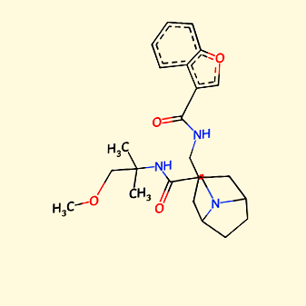 COCC(C)(C)NC(=O)CN1C2CCC1CC(CNC(=O)c1coc3ccccc13)C2